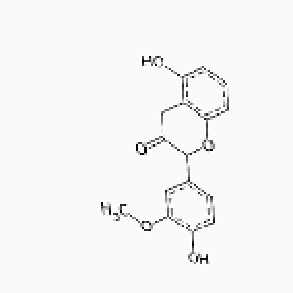 COc1cc(C2Oc3cccc(O)c3CC2=O)ccc1O